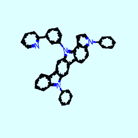 c1ccc(-n2ccc3c2ccc2c4cc5c(cc4n(-c4cccc(-c6ccccn6)c4)c23)c2ccccc2n5-c2ccccc2)cc1